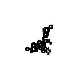 C/C(=C\c1ccc2cc(Cl)cnc2c1)[C@H]1O[C@@H](n2ccc3c(Cl)ncnc32)[C@@H]2OC(C)(C)O[C@@H]21